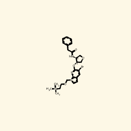 C[Si](C)(C)CCOCn1ccc2cc(Br)c(O[C@@H]3COC[C@@H]3NC(=O)Cc3ccccc3)nc21